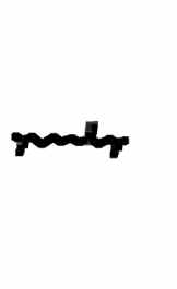 CN(C)CCCCCCNCCN(C)C